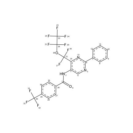 O=C(Nc1cnc(-c2ccccc2)nc1C(F)(F)OC(F)(F)C(F)(F)F)c1ccc(C(F)(F)F)cc1